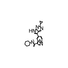 C=C(c1cnn2ccc(-c3c[nH]c4nc(C5CC5)ncc34)cc12)N(C)C1CCCCC1